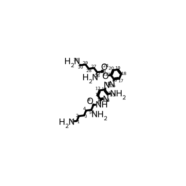 NCCCC[C@H](N)C(=O)Nc1ccc(/N=N/c2ccccc2OC(=O)[C@@H](N)CCCCN)c(N)n1